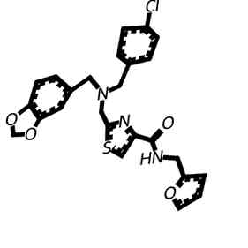 O=C(NCc1ccco1)c1csc(CN(Cc2ccc(Cl)cc2)Cc2ccc3c(c2)OCO3)n1